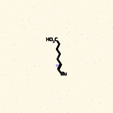 CCC(C)/C=C/CCCCC(=O)O